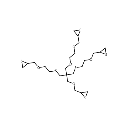 C(COCC(COCC1CS1)(CSCCOCC1CS1)CSCCOCC1CS1)OCC1CS1